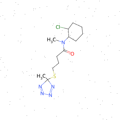 CN(C(=O)CCCSC1(C)N=NN=N1)C1CCCCC1Cl